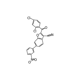 N#Cc1c(C(=O)c2ccc(Cl)cc2Cl)oc2cc(-c3cccc([N+](=O)[O-])c3)ccc12